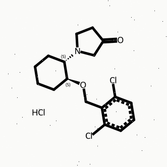 Cl.O=C1CCN([C@H]2CCCC[C@@H]2OCc2c(Cl)cccc2Cl)C1